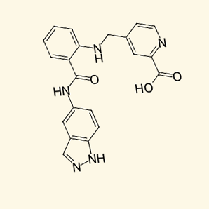 O=C(O)c1cc(CNc2ccccc2C(=O)Nc2ccc3[nH]ncc3c2)ccn1